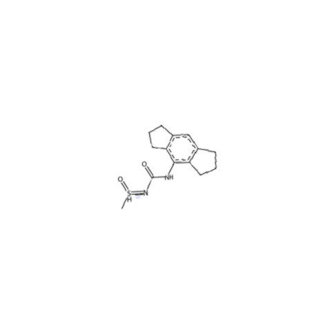 C/[SH](=O)=N/C(=O)Nc1c2c(cc3c1CCC3)CCC2